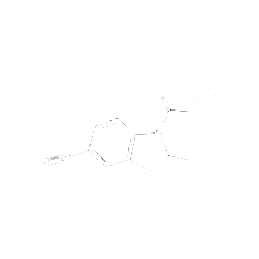 CSC(=S)N1c2ccc(C#N)cc2CC1C